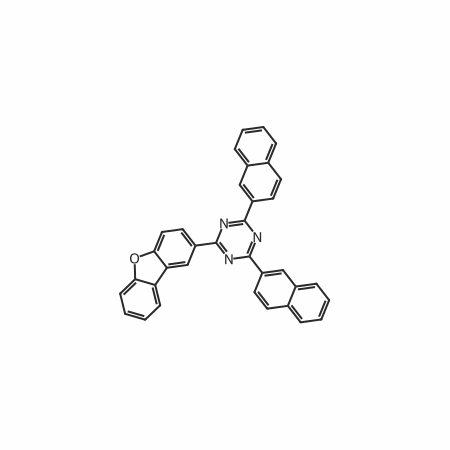 c1ccc2cc(-c3nc(-c4ccc5ccccc5c4)nc(-c4ccc5oc6ccccc6c5c4)n3)ccc2c1